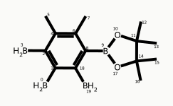 Bc1c(B)c(C)c(C)c(B2OC(C)(C)C(C)(C)O2)c1B